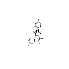 Cc1ccc2c(c1)c(C)c(C)c1nn(-c3ccc(C)c(C)c3C)nc12